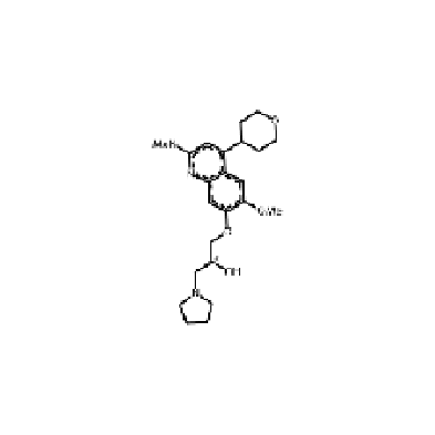 CNc1cc(C2CCOCC2)c2cc(OC)c(OC[C@@H](O)CN3CCCC3)cc2n1